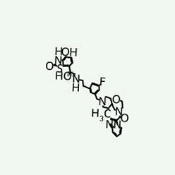 Cc1nc2ccccn2c1C(=O)N1CCOC2(CCN(Cc3cc(F)cc(CCNC[C@H](O)c4ccc(O)c5[nH]c(=O)sc45)c3)CC2)C1